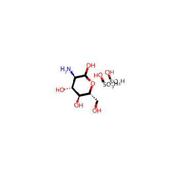 N[C@H]1C(O)O[C@H](CO)[C@@H](O)[C@@H]1O.O=S(=O)(O)O.O=S(=O)(O)O